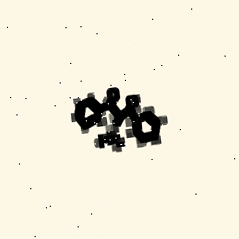 F[B]F.O=C(c1ccccc1)C(I)C(=O)c1ccccc1